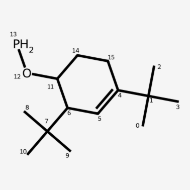 CC(C)(C)C1=CC(C(C)(C)C)C(OP)CC1